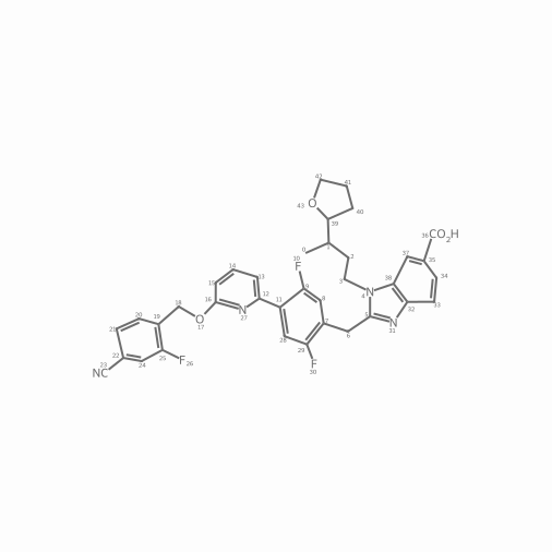 CC(CCn1c(Cc2cc(F)c(-c3cccc(OCc4ccc(C#N)cc4F)n3)cc2F)nc2ccc(C(=O)O)cc21)C1CCCO1